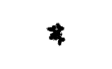 CC(C)(C)c1ccc2c(c1)c1ccccc1n2-c1ccc(-c2c(C#N)c(-c3ccc(-n4c5ccccc5c5cc(C(C)(C)C)ccc54)cc3)c(-c3ccc(-n4c5ccccc5c5cc(C(C)(C)C)ccc54)cc3)c(-c3ccc4sc5ccccc5c4c3)c2-c2ccncc2)cc1